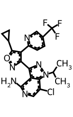 CC(C)n1nc(-c2noc(C3CC3)c2-c2ccc(C(F)(F)F)cn2)c2c(N)ncc(Cl)c21